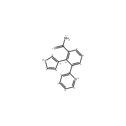 NC(=O)c1cccc(-c2ccccn2)c1-c1ccsc1